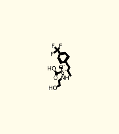 CC(Cc1ccc(C(F)(F)F)cc1)[N+]([O-])(NCCO)C(=O)O